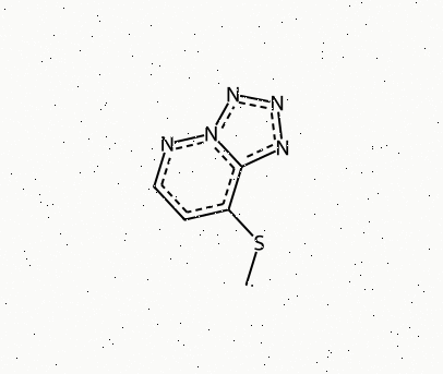 [CH2]Sc1ccnn2nnnc12